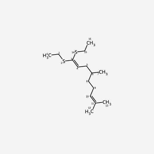 CCSC(=CCC(C)CCC=C(C)C)SCC